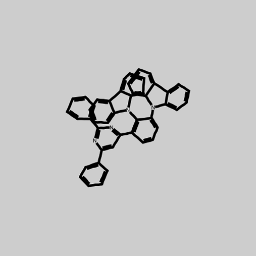 c1ccc(-c2cc(-c3cccc(-n4c5ccccc5c5ccccc54)c3-n3c4ccccc4c4ccccc43)nc(-c3ccccc3)n2)cc1